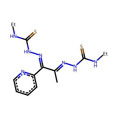 CCNC(=S)N/N=C(C)/C(=N/NC(=S)NCC)c1ccccn1